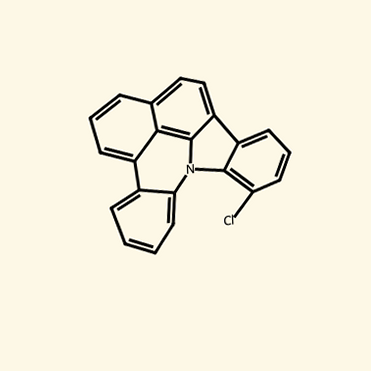 Clc1cccc2c3ccc4cccc5c6ccccc6n(c12)c3c45